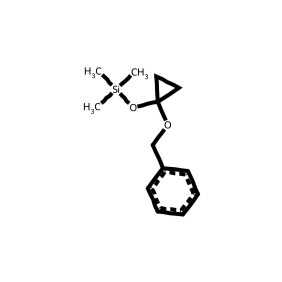 C[Si](C)(C)OC1(OCc2ccccc2)CC1